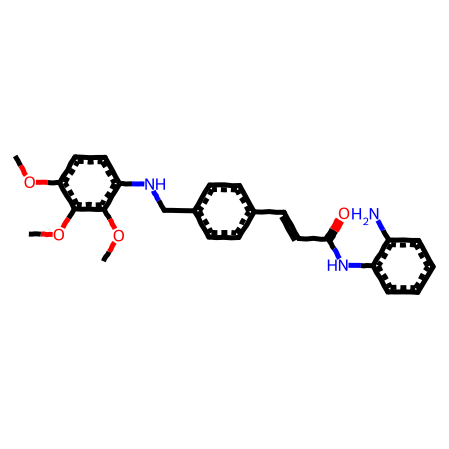 COc1ccc(NCc2ccc(C=CC(=O)Nc3ccccc3N)cc2)c(OC)c1OC